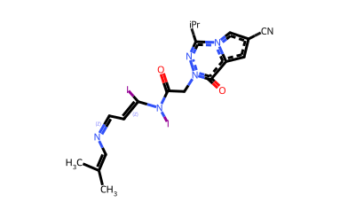 CC(C)=C/N=C\C=C(/I)N(I)C(=O)Cn1nc(C(C)C)n2cc(C#N)cc2c1=O